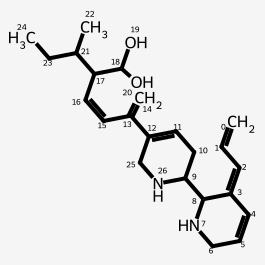 C=C/C=C1/C=CCNC1C1CC=C(C(=C)/C=C\C(C(O)O)C(C)CC)CN1